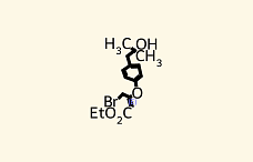 CCOC(=O)/C=C(\CBr)Oc1ccc(CC(C)(C)O)cc1